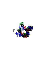 O=C(Nc1ccc(Cl)c(F)c1)Nc1ccc(Oc2ccc3nccnc3c2)c(F)c1.O=C(Nc1ccc(Oc2ccc3nccnc3c2)c(F)c1)Nc1ccc(Cl)c(C(F)(F)F)c1